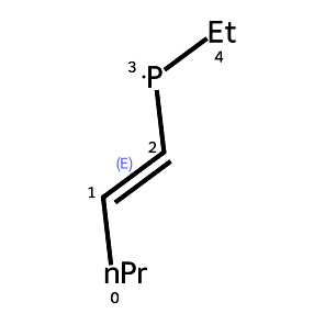 CCC/C=C/[P]CC